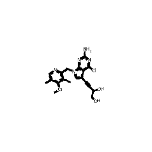 COc1c(C)cnc(Cn2cc(C#CC(O)CO)c3c(Cl)nc(N)nc32)c1C